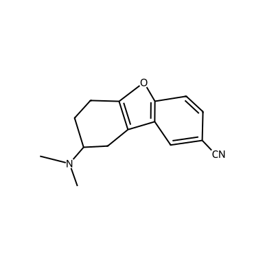 CN(C)C1CCc2oc3ccc(C#N)cc3c2C1